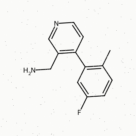 Cc1ccc(F)cc1-c1ccncc1CN